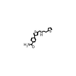 NC(=O)c1ccc(-c2csc(CNCCC3CC=CS3)c2)cc1